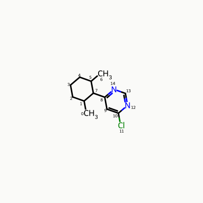 CC1CCCC(C)C1c1cc(Cl)ncn1